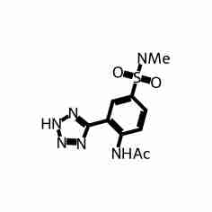 CNS(=O)(=O)c1ccc(NC(C)=O)c(-c2nn[nH]n2)c1